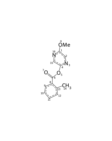 COc1cnc(OC(=O)c2ccccc2C)cn1